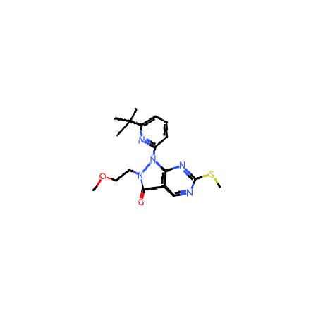 COCCn1c(=O)c2cnc(SC)nc2n1-c1cccc(C(C)(C)C)n1